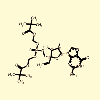 C=C[C@]1(COP(=O)(OCOC(=O)C(C)(C)C)OCOC(=O)C(C)(C)C)O[C@@H](n2cnc3c(=O)[nH]c(N)nc32)[C@H](F)[C@@H]1O